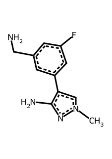 Cn1cc(-c2cc(F)cc(CN)c2)c(N)n1